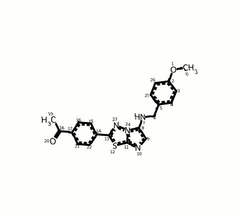 COc1ccc(CNc2cnc3sc(-c4ccc(C(C)=O)cc4)nn23)cc1